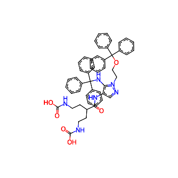 O=C(O)NCCC(CCNC(=O)O)C(=O)Nc1cnn(CCOC(c2ccccc2)(c2ccccc2)c2ccccc2)c1NC(c1ccccc1)(c1ccccc1)c1ccccc1